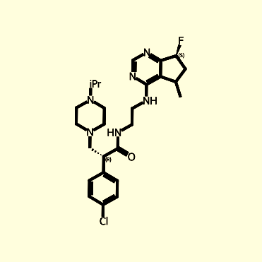 CC1C[C@H](F)c2ncnc(NCCNC(=O)[C@@H](CN3CCN(C(C)C)CC3)c3ccc(Cl)cc3)c21